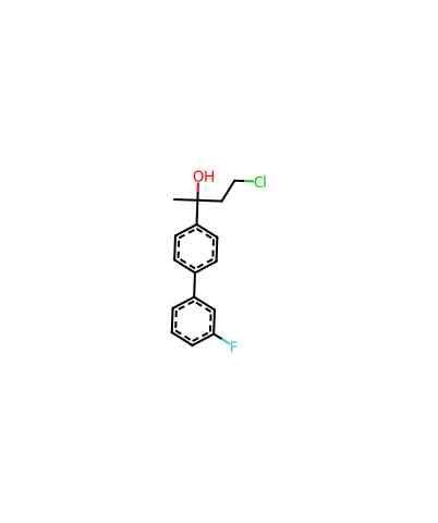 CC(O)(CCCl)c1ccc(-c2cccc(F)c2)cc1